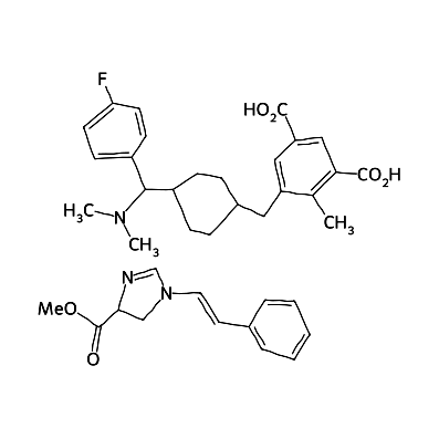 COC(=O)C1CN(C=Cc2ccccc2)C=N1.Cc1c(CC2CCC(C(c3ccc(F)cc3)N(C)C)CC2)cc(C(=O)O)cc1C(=O)O